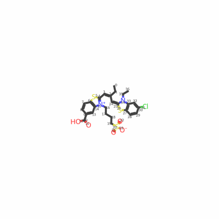 CCC(=Cc1sc2ccc(C(=O)O)cc2[n+]1CCCCS(=O)(=O)[O-])C=C1Sc2ccc(Cl)cc2N1CC